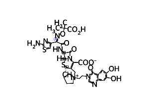 C[C@@H]1S[C@@H]2[C@H](NC(=O)/C(=N\OC(C)(C)C(=O)O)c3csc(N)n3)C(=O)N2C(C(=O)[O-])=C1C[N+]1(CCn2cnc3cc(O)c(O)cc3c2=O)CCCC1